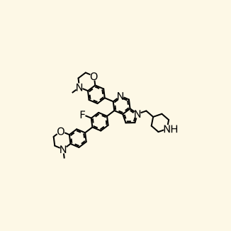 CN1CCOc2cc(-c3ccc(-c4c(-c5ccc6c(c5)OCCN6C)ncc5c4ccn5CC4CCNCC4)cc3F)ccc21